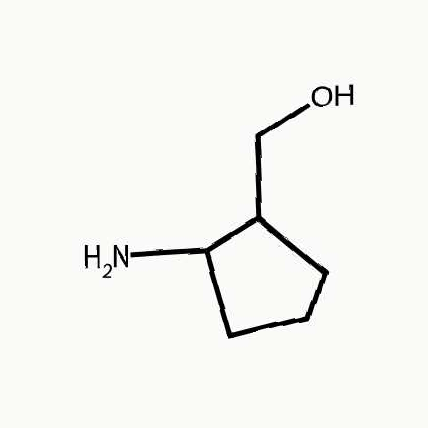 NC1CCCC1CO